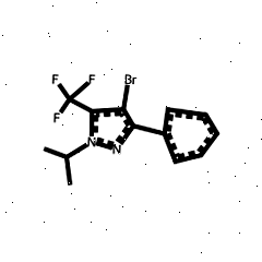 CC(C)n1nc(-c2ccccc2)c(Br)c1C(F)(F)F